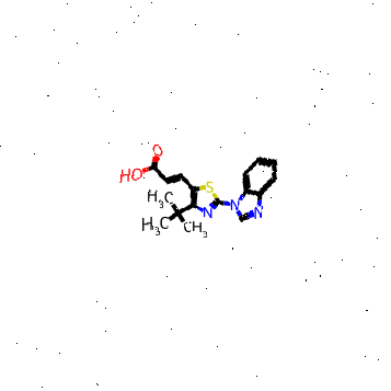 CC(C)(C)c1nc(-n2cnc3ccccc32)sc1/C=C/C(=O)O